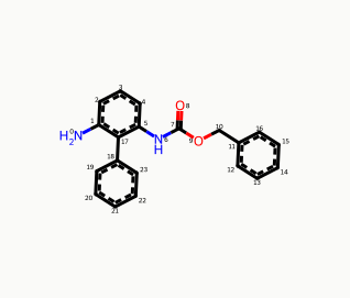 Nc1cccc(NC(=O)OCc2ccccc2)c1-c1ccccc1